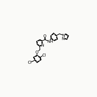 O=C(Nc1ccc(Cn2cccn2)cc1)c1cccc(COc2cc(Cl)ccc2Cl)n1